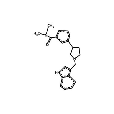 CN(C)C(=O)c1cccc(C2CCN(Cc3c[nH]c4ccccc34)C2)c1